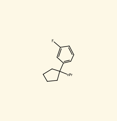 CCCC1(c2cccc(F)c2)CCCC1